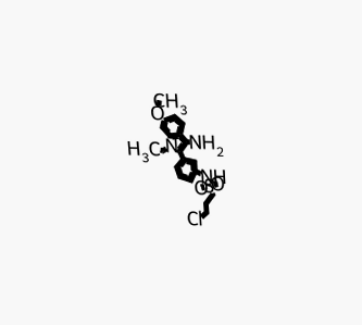 CCn1c(-c2cccc(NS(=O)(=O)CCCCl)c2)c(N)c2ccc(OC)cc21